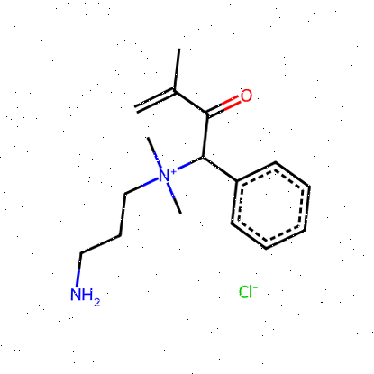 C=C(C)C(=O)C(c1ccccc1)[N+](C)(C)CCCN.[Cl-]